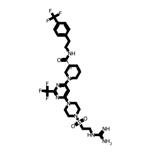 N=C(N)NCCS(=O)(=O)N1CCN(c2cc(N3CCC[C@@H](C(=O)NCCc4ccc(C(F)(F)F)cc4)C3)nc(C(F)(F)F)n2)CC1